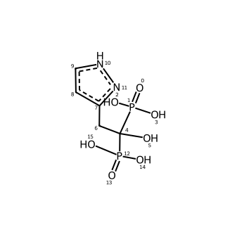 O=P(O)(O)C(O)(Cc1cc[nH]n1)P(=O)(O)O